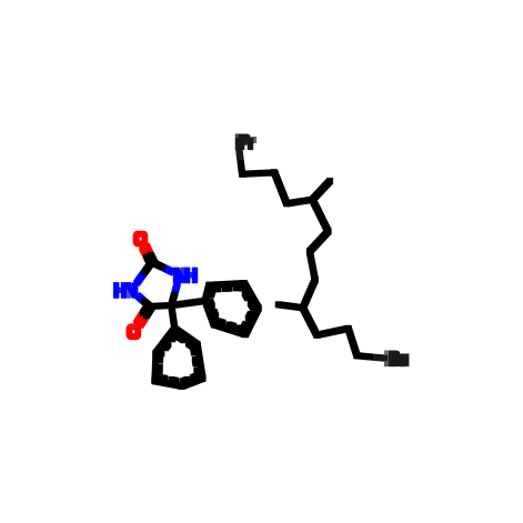 CCC(C)CCCC(C)CCCC(C)CCCC(C)C.O=C1NC(=O)C(c2ccccc2)(c2ccccc2)N1